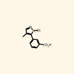 CCn1ncc(C)c1-c1cccc(C(=O)O)c1